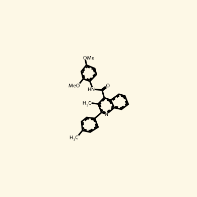 COc1ccc(NC(=O)c2c(C)c(-c3ccc(C)cc3)nc3ccccc23)c(OC)c1